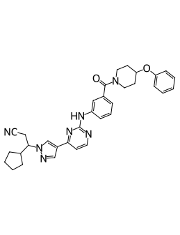 N#CCC(C1CCCC1)n1cc(-c2ccnc(Nc3cccc(C(=O)N4CCC(Oc5ccccc5)CC4)c3)n2)cn1